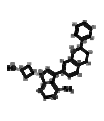 Nc1ncnc2c1c(-c1ccc3c(c1)OC(c1ccccc1)CC3)cn2[C@H]1C[C@@H](O)C1